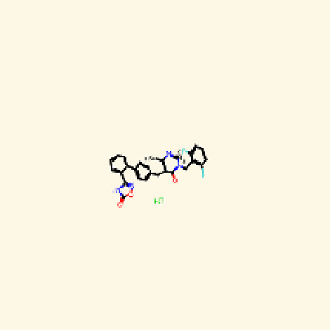 CCCCc1nc(C)n(Cc2c(F)cccc2F)c(=O)c1Cc1ccc(-c2ccccc2-c2noc(=O)[nH]2)cc1.Cl